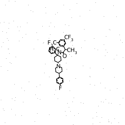 CC(C(=O)N(C)[C@]1(c2ccccc2)CC[C@@H](N2CCC(c3ccc(F)cc3)CC2)CC1)c1cc(C(F)(F)F)cc(C(F)(F)F)c1